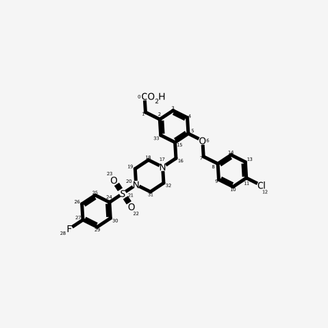 O=C(O)Cc1ccc(OCc2ccc(Cl)cc2)c(CN2CCN(S(=O)(=O)c3ccc(F)cc3)CC2)c1